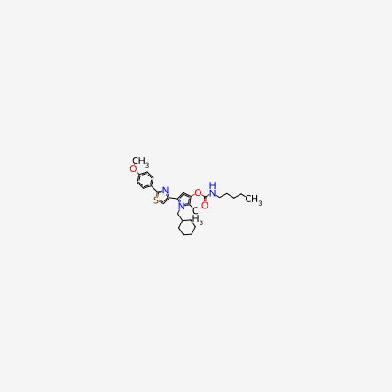 CCCCCNC(=O)Oc1cc(-c2csc(-c3ccc(OC)cc3)n2)n(CC2CCCCC2)c1C